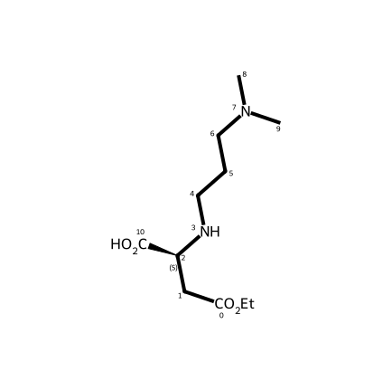 CCOC(=O)C[C@H](NCCCN(C)C)C(=O)O